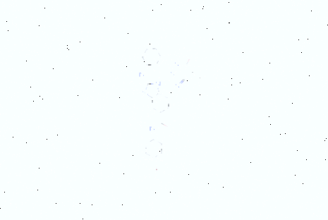 N#CC1(C(=O)N(N)Cc2ccc(Cl)c(Nc3nc4cc(C(=O)Nc5ccc(Br)cc5)ccc4[nH]3)c2)CC1